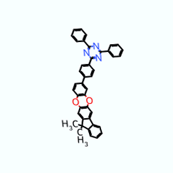 CC1(C)c2ccccc2-c2cc3c(cc21)Oc1ccc(-c2ccc(-c4nc(-c5ccccc5)nc(-c5ccccc5)n4)cc2)cc1O3